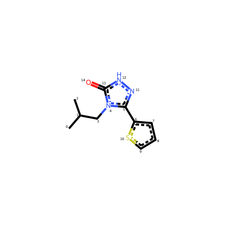 CC(C)Cn1c(-c2cccs2)n[nH]c1=O